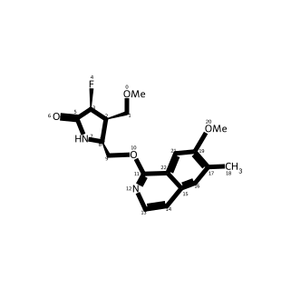 COC[C@@H]1[C@H](F)C(=O)N[C@@H]1COc1nccc2cc(C)c(OC)cc12